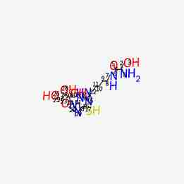 NC(CO)C(=O)NCCCCCCNc1nc(S)c2ncn([C@@H]3O[C@H](CO)[C@H](O)C3O)c2n1